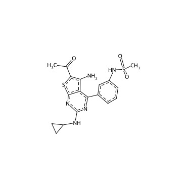 CC(=O)c1sc2nc(NC3CC3)nc(-c3cccc(NS(C)(=O)=O)c3)c2c1N